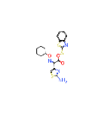 Nc1nc(C(=NOC2CCCCC2)C(=O)OSc2nc3ccccc3s2)cs1